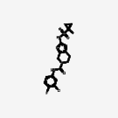 CC1(S(=O)(=O)Nc2nc3c(s2)CN(C(=O)Nc2ccc(F)c(Cl)c2)CC3)CC1